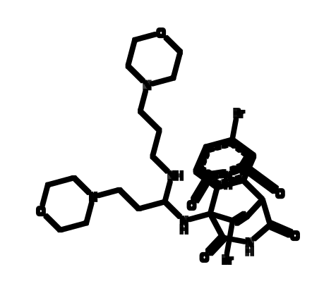 O=C1NC(=O)C2(NC(CCN3CCOCC3)NCCCN3CCOCC3)C(Br)=CC1c1c2c2cc(Br)c1c(=O)[nH]c2=O